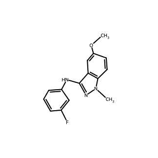 COc1ccc2c(c1)c(Nc1cccc(F)c1)nn2C